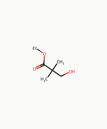 C[CH]OC(=O)C(C)(C)CO